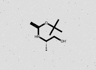 C=C(N[C@@H](C)CO)OC(C)(C)C